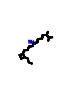 CCCC1CCC1CCCCCC=CC=CC(C)=C(C)C.N